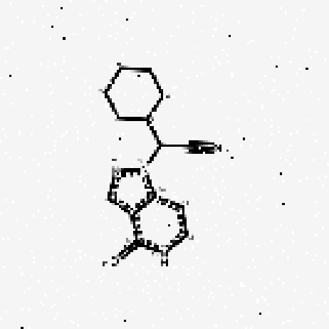 N#CC(C1CCCCC1)n1ncc2c(=O)[nH]ccc21